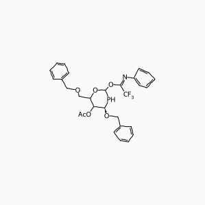 CC(=O)OC1C(COCc2ccccc2)OC(O/C(=N/c2ccccc2)C(F)(F)F)P[C@H]1OCc1ccccc1